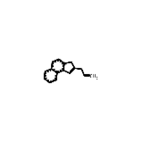 C=CCC1=Cc2c(ccc3ccccc23)C1